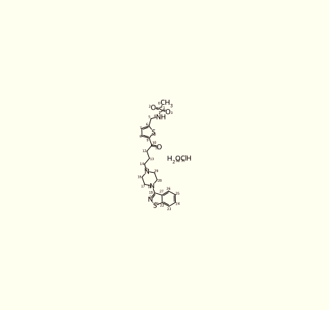 CS(=O)(=O)NCc1ccc(C(=O)CCCN2CCN(c3nsc4ccccc34)CC2)s1.Cl.O